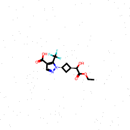 CCOC(=O)C(O)[C@H]1C[C@H](n2ncc(C(=O)O)c2C(F)(F)F)C1